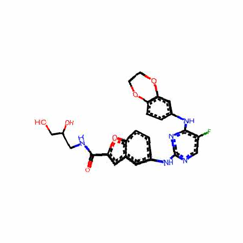 O=C(NCC(O)CO)c1cc2cc(Nc3ncc(F)c(Nc4ccc5c(c4)OCCO5)n3)ccc2o1